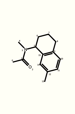 CC(=O)N(C)C1CCCc2ccc(C)cc21